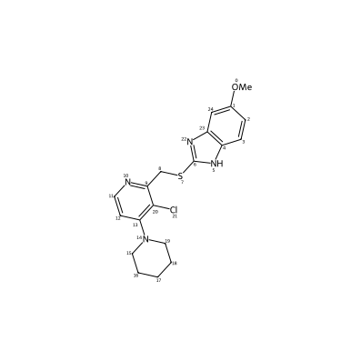 COc1ccc2[nH]c(SCc3nccc(N4CCCCC4)c3Cl)nc2c1